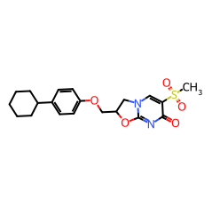 CS(=O)(=O)c1cn2c(nc1=O)OC(COc1ccc(C3CCCCC3)cc1)C2